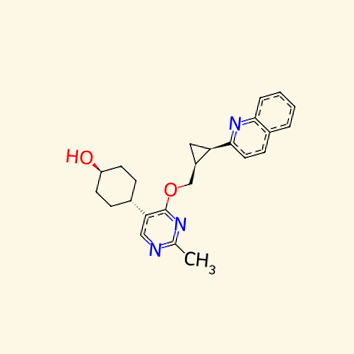 Cc1ncc([C@H]2CC[C@H](O)CC2)c(OC[C@H]2C[C@H]2c2ccc3ccccc3n2)n1